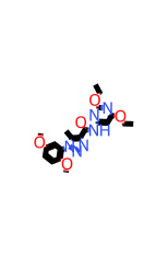 CCOc1cc(NC(=O)c2nnn(-c3cc(OC)ccc3OC)c2C)nc(OCC)n1